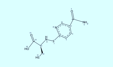 NC(=O)c1ccc(SN[C@@H](CS)C(=O)O)nc1